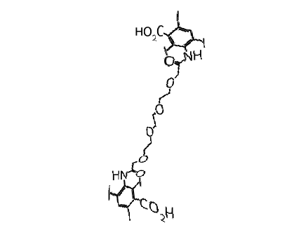 O=C(COCCOCCOCCOCC(=O)Nc1c(I)cc(I)c(C(=O)O)c1I)Nc1c(I)cc(I)c(C(=O)O)c1I